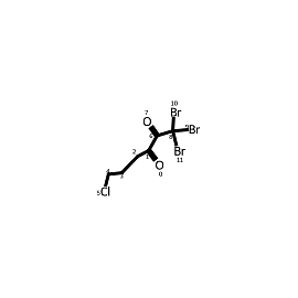 O=C(CCCCl)C(=O)C(Br)(Br)Br